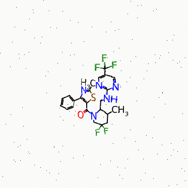 Cc1nc(-c2ccccc2)c(C(=O)N2CC(F)(F)CC(C)C2CNc2ncc(C(F)(F)F)cn2)s1